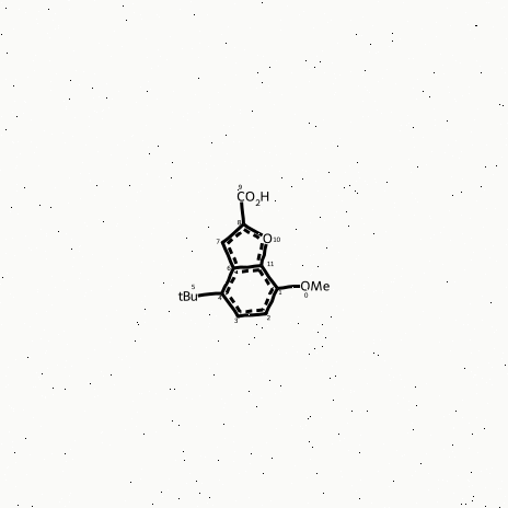 COc1ccc(C(C)(C)C)c2cc(C(=O)O)oc12